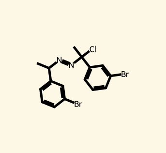 CC(N=NC(C)(Cl)c1cccc(Br)c1)c1cccc(Br)c1